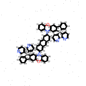 c1cncc([Si]2(c3cccnc3)c3ccccc3-c3cc4c(cc32)N(c2ccc3cc5cc(N6c7ccccc7Oc7cc8c(cc76)[Si](c6cccnc6)(c6cccnc6)c6ccccc6-8)ccc5cc3c2)c2ccccc2O4)c1